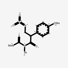 CNC(=S)N(C(=O)C(CN=S(=O)=O)c1ccc(OC)cc1)C(C)C